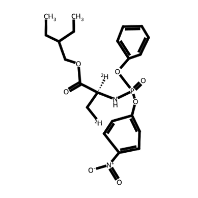 [2H]C[C@]([2H])(NP(=O)(Oc1ccccc1)Oc1ccc([N+](=O)[O-])cc1)C(=O)OCC(CC)CC